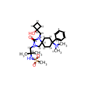 CN(C)C1(c2ccccc2)CCC2(CC1)CN(CC(C)(C)NS(C)(=O)=O)C(=O)N2CC1(O)CCC1